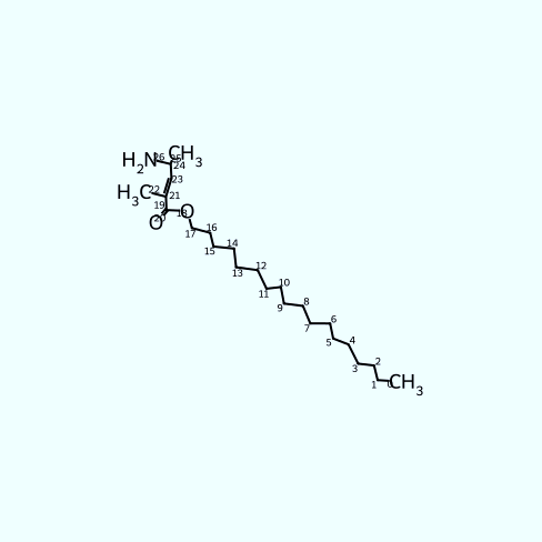 CCCCCCCCCCCCCCCCCCOC(=O)C(C)=CC(C)N